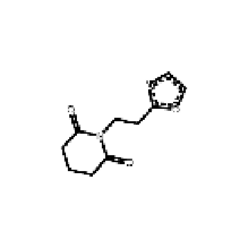 O=C1CCCC(=O)N1CCc1ncco1